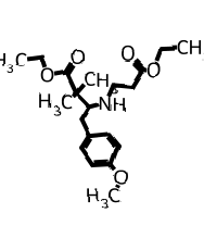 CCOC(=O)CCNC(Cc1ccc(OC)cc1)C(C)(C)C(=O)OCC